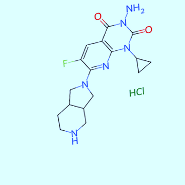 Cl.Nn1c(=O)c2cc(F)c(N3CC4CCNCC4C3)nc2n(C2CC2)c1=O